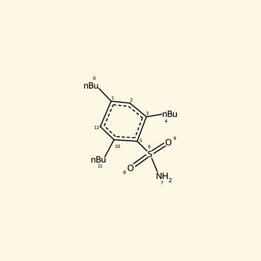 CCCCc1cc(CCCC)c(S(N)(=O)=O)c(CCCC)c1